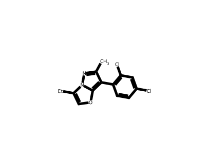 CCc1coc2c(-c3ccc(Cl)cc3Cl)c(C)nn12